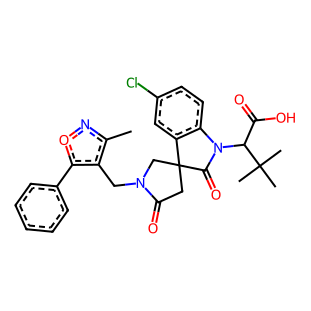 Cc1noc(-c2ccccc2)c1CN1CC2(CC1=O)C(=O)N(C(C(=O)O)C(C)(C)C)c1ccc(Cl)cc12